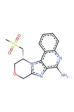 CS(=O)(=O)C[C@H]1COCc2nc3c(N)nc4ccccc4c3n21